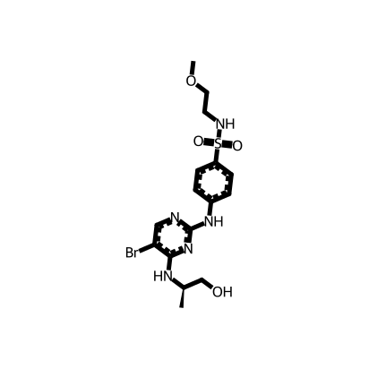 COCCNS(=O)(=O)c1ccc(Nc2ncc(Br)c(N[C@H](C)CO)n2)cc1